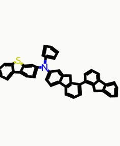 c1ccc(N(c2ccc3c(c2)Cc2c-3cccc2-c2cccc3c2Cc2ccccc2-3)c2ccc3c(c2)sc2ccccc23)cc1